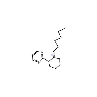 CCCCC/C=C1\CCCCN1c1ncccn1